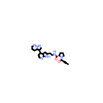 CC#CC(=O)N1CCC[C@H]1C(=O)NCCc1cc2c(-c3cnn4ncccc34)ccnc2[nH]1